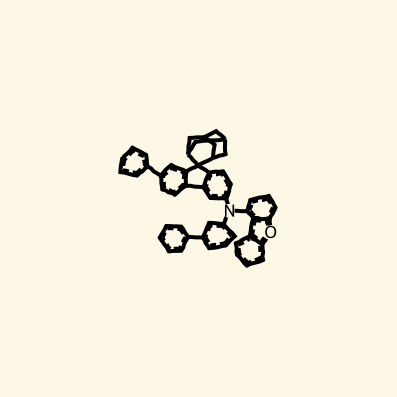 c1ccc(-c2cccc(N(c3ccc4c(c3)-c3ccc(-c5ccccc5)cc3C43C4CC5CC(C4)CC3C5)c3cccc4oc5ccccc5c34)c2)cc1